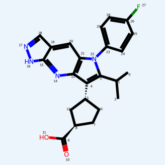 CC(C)c1c([C@@H]2CC[C@@H](C(=O)O)C2)c2nc3[nH]ncc3cc2n1-c1ccc(F)cc1